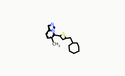 Cc1ccc2cncn2c1C1CC(CC2CCCCCC2)S1